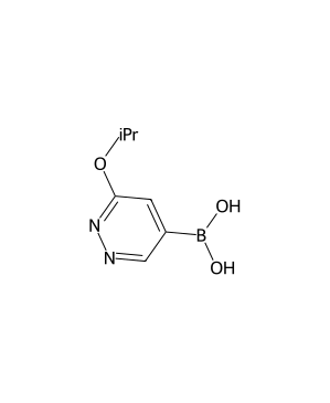 CC(C)Oc1cc(B(O)O)cnn1